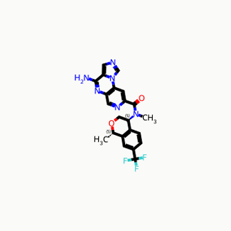 C[C@@H]1OC[C@@H](N(C)C(=O)c2cc3c(cn2)nc(N)c2cncn23)c2ccc(C(F)(F)F)cc21